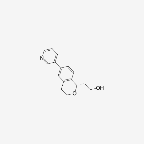 OCC[C@@H]1OCCc2cc(-c3cccnc3)ccc21